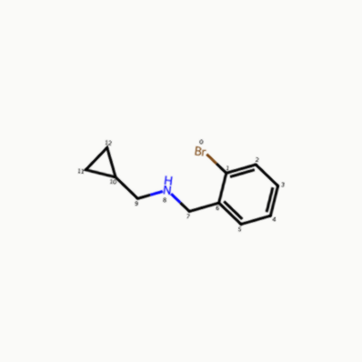 Brc1ccccc1CNCC1CC1